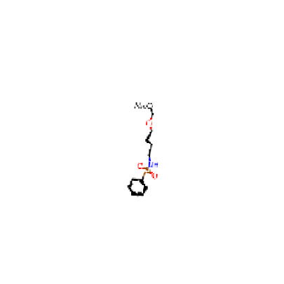 COCOCCCCNS(=O)(=O)c1ccccc1